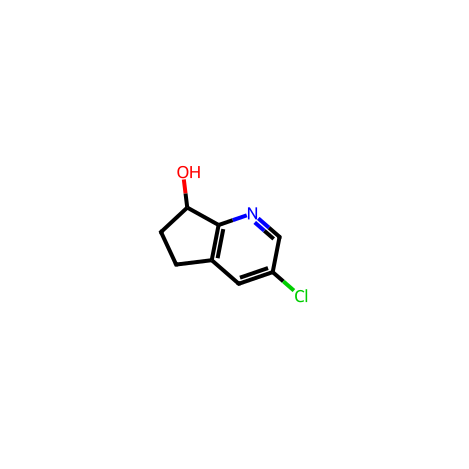 OC1CCc2cc(Cl)cnc21